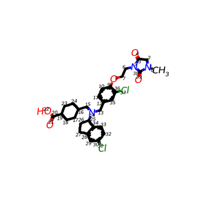 CN1CC(=O)N(CCOc2ccc(CN(CC3CCC(C(=O)O)CC3)C3CCc4cc(Cl)ccc43)cc2Cl)C1=O